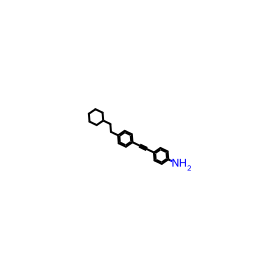 Nc1ccc(C#Cc2ccc(CCC3CCCCC3)cc2)cc1